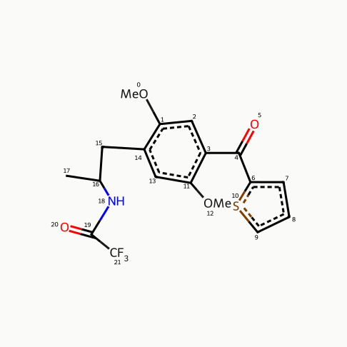 COc1cc(C(=O)c2cccs2)c(OC)cc1CC(C)NC(=O)C(F)(F)F